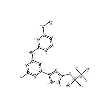 Cc1cc(Nc2nccc(OC(C)C)n2)cc(-c2cn(C[C@@](C)(O)C(C)(C)O)nn2)c1